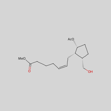 COC(=O)CCC/C=C\C[C@H]1[C@@H](CO)CC[C@H]1OC(C)=O